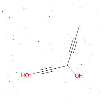 CC#CC(O)C#CO